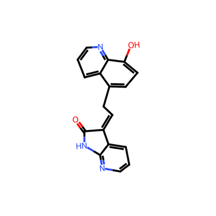 O=C1Nc2ncccc2C1=CCc1ccc(O)c2ncccc12